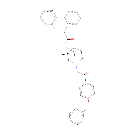 O=C(C[N+]12CCC(CC1)[C@@H](OC(=O)[C@H](Nc1ccccc1)c1ccccc1)C2)c1ccc(Oc2ccccc2)cc1